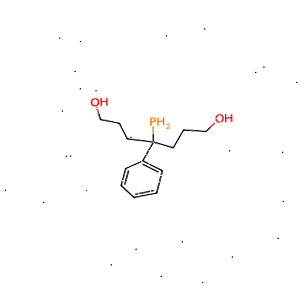 OCCCC(P)(CCCO)c1ccccc1